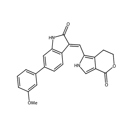 COc1cccc(-c2ccc3c(c2)NC(=O)C3=Cc2[nH]cc3c2CCOC3=O)c1